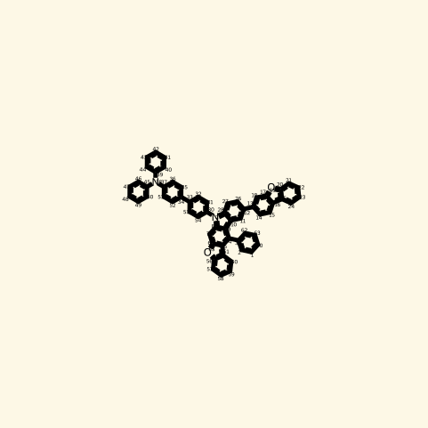 c1ccc(-c2c3c(cc4c2c2cc(-c5ccc6c(c5)oc5ccccc56)ccc2n4-c2ccc(-c4ccc(N(c5ccccc5)c5ccccc5)cc4)cc2)oc2ccccc23)cc1